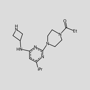 CCC(=O)N1CCN(c2nc(NC3CNC3)cc(C(C)C)n2)CC1